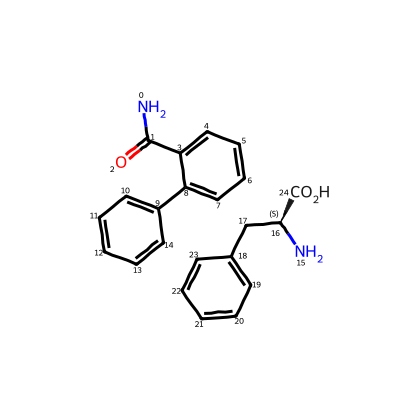 NC(=O)c1ccccc1-c1ccccc1.N[C@@H](Cc1ccccc1)C(=O)O